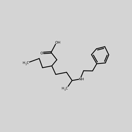 CCCC(CCC(C)NCCc1ccccc1)CC(=O)O